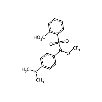 CN(C)c1ccc(N(OC(F)(F)F)S(=O)(=O)c2ccccc2C(=O)O)cc1